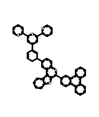 C1=CC(c2cc(-c3ccccn3)nc(-c3ccccn3)c2)=CC(c2ccc3nc(-c4ccc5c6ccccc6c6ccccc6c5c4)c4oc5ccccc5c4c3c2)C1